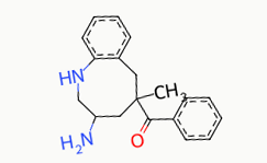 CC1(C(=O)c2ccccc2)Cc2ccccc2NCC(N)C1